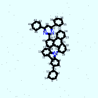 c1ccc(-c2ccc3c(c2)c2ccccc2n3-c2cccc3c4ccccc4c4c(-c5nc(-c6ccccc6)cc(-c6ccccc6)n5)cccc4c23)cc1